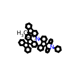 CC1(C)c2ccccc2-c2ccc(N(c3cccc4c3-c3ccccc3C43c4ccccc4-c4ccccc43)c3cccc4c3-c3ccccc3C43c4ccccc4N(c4ccccc4)c4ccccc43)cc21